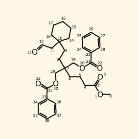 COC(=O)CCCC(CCC1(CC=O)CCCCC1)(COC(=O)c1ccccc1)COC(=O)c1ccccc1